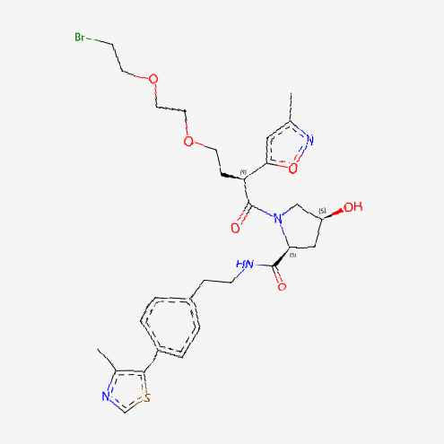 Cc1cc([C@H](CCOCCOCCBr)C(=O)N2C[C@@H](O)C[C@H]2C(=O)NCCc2ccc(-c3scnc3C)cc2)on1